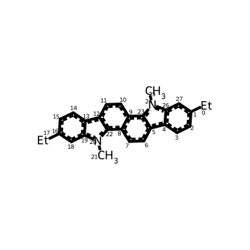 CCc1ccc2c3ccc4c(ccc5c6ccc(CC)cc6n(C)c54)c3n(C)c2c1